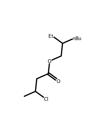 CCCCC(CC)COC(=O)CC(C)Cl